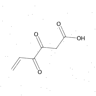 C=CC(=O)C(=O)CC(=O)O